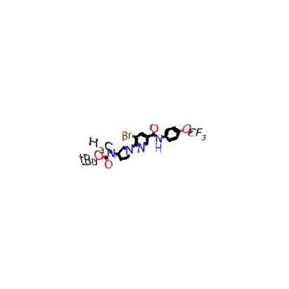 CN(C(=O)OC(C)(C)C)[C@@H]1CCN(c2ncc(C(=O)Nc3ccc(OC(F)(F)F)cc3)cc2Br)C1